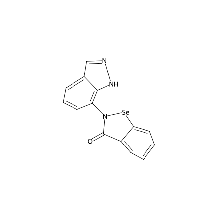 O=c1c2ccccc2[se]n1-c1cccc2cn[nH]c12